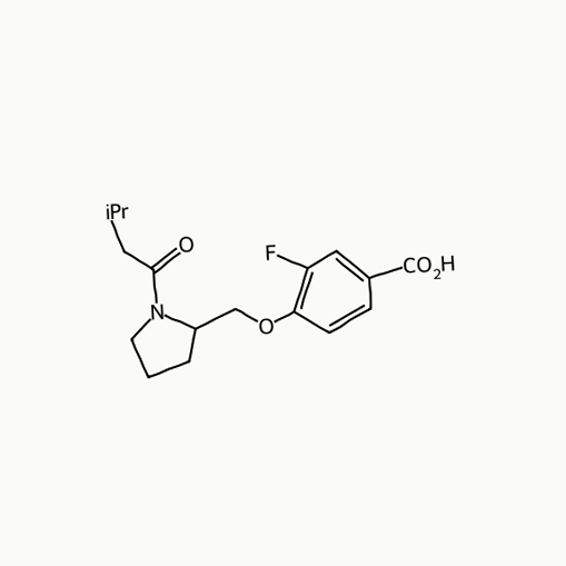 CC(C)CC(=O)N1CCCC1COc1ccc(C(=O)O)cc1F